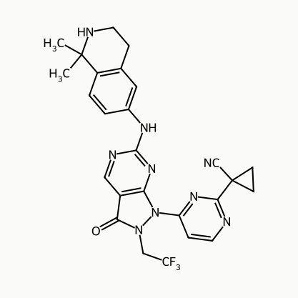 CC1(C)NCCc2cc(Nc3ncc4c(=O)n(CC(F)(F)F)n(-c5ccnc(C6(C#N)CC6)n5)c4n3)ccc21